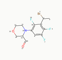 CC(Br)c1c(F)c(F)cc(N2CCOCC2C=O)c1F